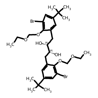 CCOCOc1c(Br)cc(C(C)(C)C)cc1C[C@@H](O)[C@H](O)Cc1cc(C(C)(C)C)cc(Br)c1OCOCC